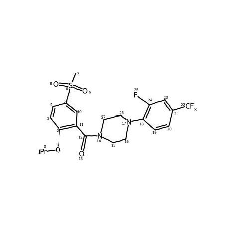 CC(C)Oc1ccc(S(C)(=O)=O)cc1C(=O)N1CCN(c2ccc(C(F)(F)F)cc2F)CC1